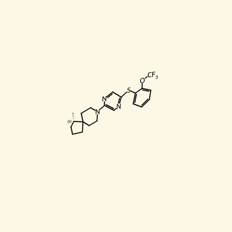 C[C@H]1CCCC12CCN(c1cnc(Sc3ccccc3OC(F)(F)F)cn1)CC2